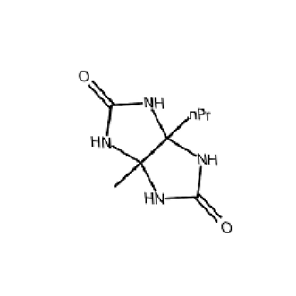 CCCC12NC(=O)NC1(C)NC(=O)N2